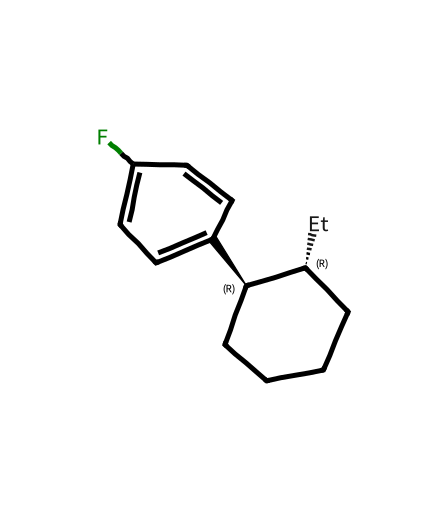 CC[C@@H]1CCCC[C@H]1c1ccc(F)cc1